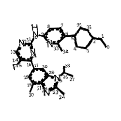 CCC1CCC(c2ccc(Nc3ncc(F)c(-c4cc(C)c5nc(C)n(C(C)C)c5c4)n3)nc2C)CC1